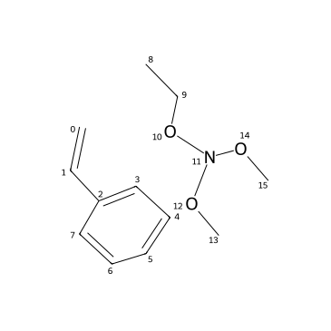 C=Cc1ccccc1.CCON(OC)OC